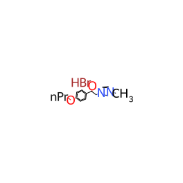 Br.CCCOc1ccc(C(=O)CN2C=CN(C)C2)cc1